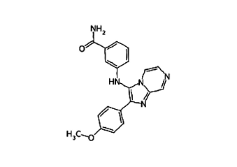 COc1ccc(-c2nc3cnccn3c2Nc2cccc(C(N)=O)c2)cc1